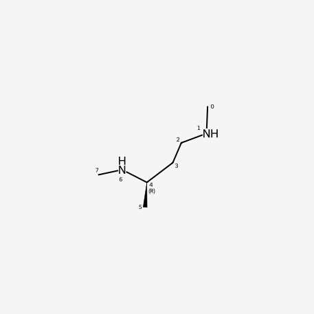 CNCC[C@@H](C)NC